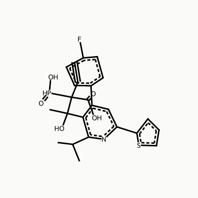 C#CC(C(=O)O)([PH](=O)O)C(C)(O)c1c(-c2ccc(F)cc2)cc(-c2cccs2)nc1C(C)C